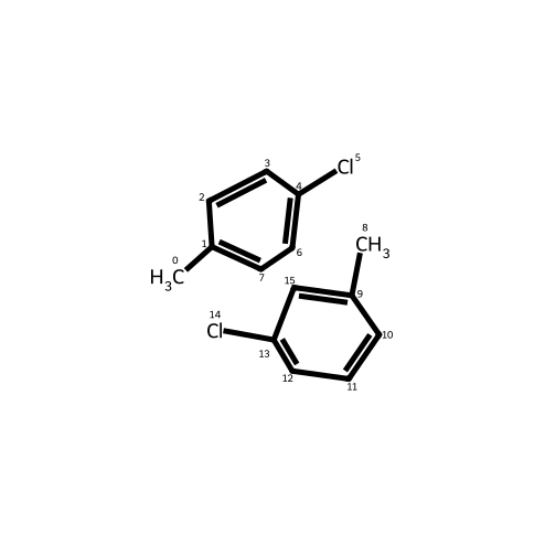 Cc1ccc(Cl)cc1.Cc1cccc(Cl)c1